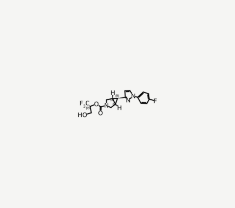 O=C(O[C@H](CO)C(F)(F)F)N1C[C@@H]2[C@H](C1)[C@H]2c1ccn(-c2ccc(F)cc2)n1